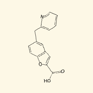 O=C(O)c1cc2cc(Cc3ccccn3)ccc2o1